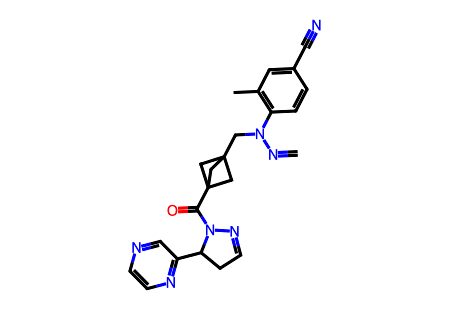 C=NN(CC12CC(C(=O)N3N=CCC3c3cnccn3)(C1)C2)c1ccc(C#N)cc1C